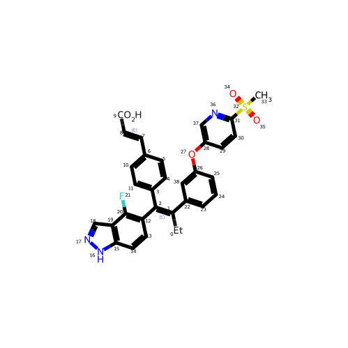 CC/C(=C(/c1ccc(/C=C/C(=O)O)cc1)c1ccc2[nH]ncc2c1F)c1cccc(Oc2ccc(S(C)(=O)=O)nc2)c1